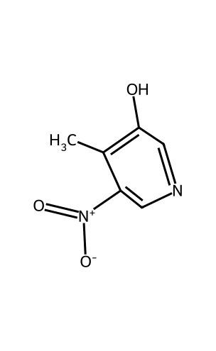 Cc1c(O)cncc1[N+](=O)[O-]